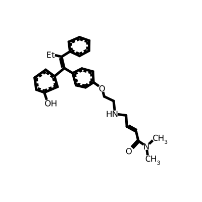 CCC(=C(c1ccc(OCCNCC=CC(=O)N(C)C)cc1)c1cccc(O)c1)c1ccccc1